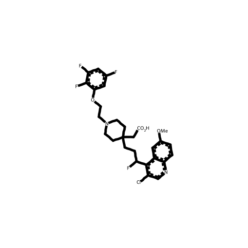 COc1ccc2ncc(Cl)c(C(F)CCC3(CC(=O)O)CCN(CCOc4cc(F)cc(F)c4F)CC3)c2c1